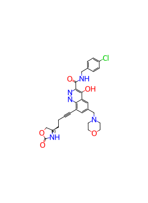 O=C1N[C@H](CCC#Cc2cc(CN3CCOCC3)cc3c(O)c(C(=O)NCc4ccc(Cl)cc4)nnc23)CO1